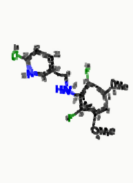 COc1cc(OC)c(F)c(NCc2ccc(Cl)nc2)c1F